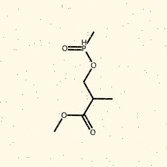 COC(=O)C(C)CO[PH](C)=O